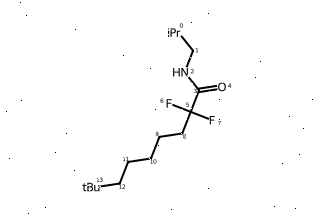 CC(C)CNC(=O)C(F)(F)CCCCCC(C)(C)C